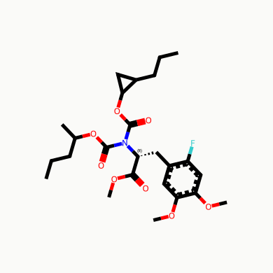 CCCC(C)OC(=O)N(C(=O)OC1CC1CCC)[C@H](Cc1cc(OC)c(OC)cc1F)C(=O)OC